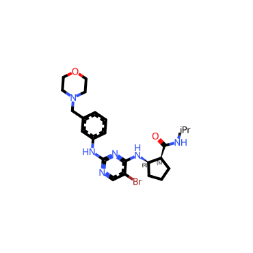 CC(C)NC(=O)[C@H]1CCC[C@H]1Nc1nc(Nc2cccc(CN3CCOCC3)c2)ncc1Br